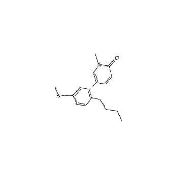 CCCCc1ccc(SC)cc1-c1ccc(=O)n(C)c1